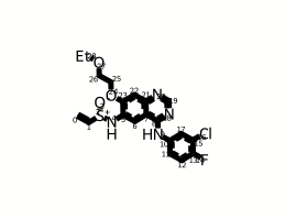 C=C[S+]([O-])Nc1cc2c(Nc3ccc(F)c(Cl)c3)ncnc2cc1OCCOCC